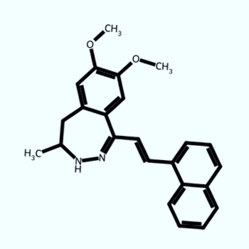 COc1cc2c(cc1OC)C(C=Cc1cccc3ccccc13)=NNC(C)C2